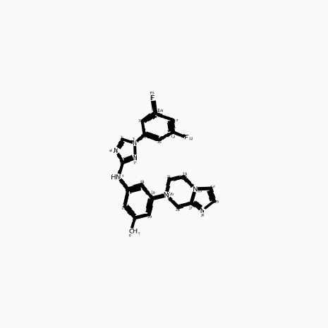 Cc1cc(Nc2ncn(-c3cc(F)cc(F)c3)n2)cc(N2CCn3ccnc3C2)c1